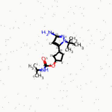 CC(C)NC(=O)OC1CCC(c2cc(N)nn2C(C)(C)C)C1